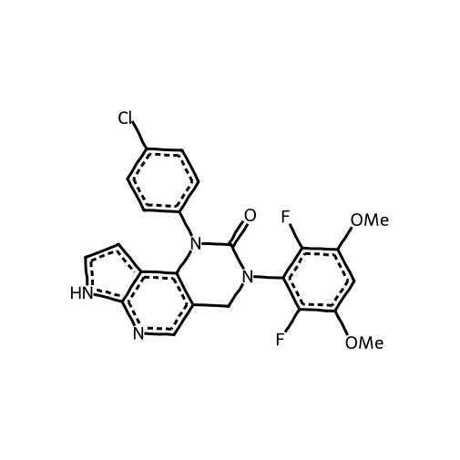 COc1cc(OC)c(F)c(N2Cc3cnc4[nH]ccc4c3N(c3ccc(Cl)cc3)C2=O)c1F